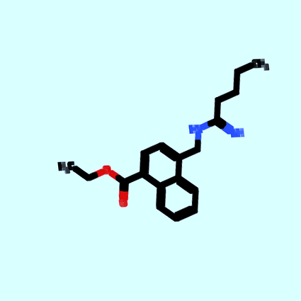 CCCCC(=N)NCc1ccc(C(=O)OCC)c2ccccc12